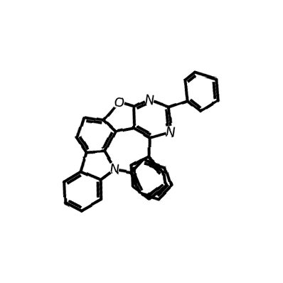 c1ccc(-c2nc(-c3ccccc3)c3c(n2)oc2ccc4c5ccccc5n(-c5ccccc5)c4c23)cc1